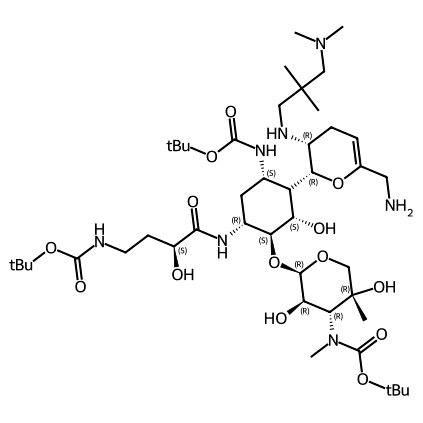 CN(C)CC(C)(C)CN[C@@H]1CC=C(CN)O[C@@H]1C1[C@@H](NC(=O)OC(C)(C)C)C[C@@H](NC(=O)[C@@H](O)CCNC(=O)OC(C)(C)C)[C@H](O[C@H]2OC[C@](C)(O)[C@H](N(C)C(=O)OC(C)(C)C)[C@H]2O)[C@H]1O